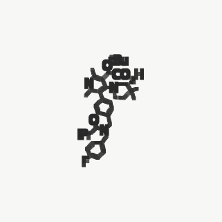 Cc1nc(C)c(C(OC(C)(C)C)C(=O)O)c(N2CCC(C)(C)CC2)c1-c1ccc(CN(Cc2ccc(F)cc2)C(=O)C(C)C)cc1